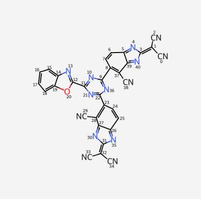 N#CC(C#N)=C1N=c2ccc(-c3nc(-c4nc5ccccc5o4)nc(-c4ccc5c(c4C#N)=NC(=C(C#N)C#N)N=5)n3)c(C#N)c2=N1